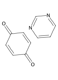 O=C1C=CC(=O)C=C1.c1cncnc1